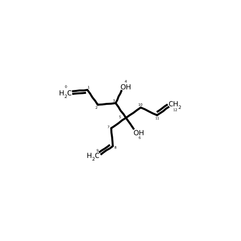 C=CCC(O)C(O)(CC=C)CC=C